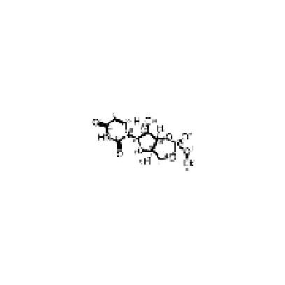 CCOP1(=O)OC[C@H]2O[C@@H](n3ccc(=O)[nH]c3=O)[C@@H](C)[C@@H]2O1